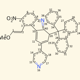 CO/C=C/c1c([N+](=O)[O-])ccc2c1C1=CC(c3ccncc3)=CC(C(c3ccccc3)(c3ccccc3)c3ccccc3)C1=N2